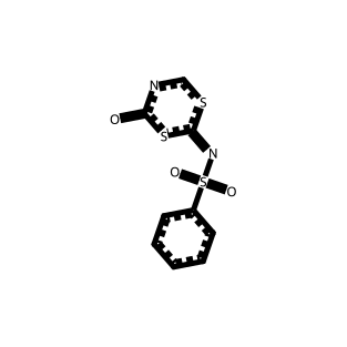 O=c1ncsc(=NS(=O)(=O)c2ccccc2)s1